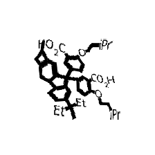 CCC(C)(CC)c1ccc2c(c1)C(c1ccc(OCCC(C)C)c(C(=O)O)c1)(c1ccc(OCCC(C)C)c(C(=O)O)c1)c1cc3c(cc1-2)CC3C